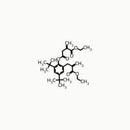 C=C(CC(=O)Oc1c(CC(=C)C(=O)OCC)cc(C(C)(C)C)cc1C(C)(C)C)C(=O)OCC